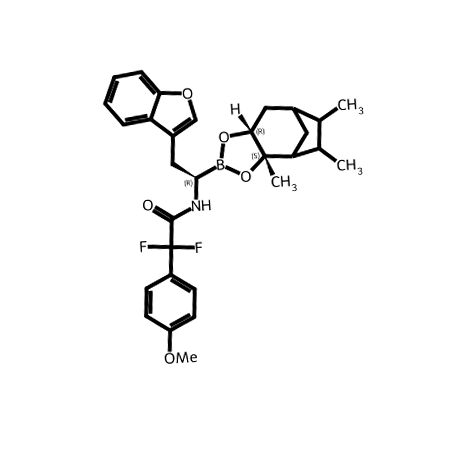 COc1ccc(C(F)(F)C(=O)N[C@@H](Cc2coc3ccccc23)B2O[C@@H]3CC4CC(C(C)C4C)[C@]3(C)O2)cc1